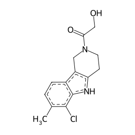 Cc1ccc2c3c([nH]c2c1Cl)CCN(C(=O)CO)C3